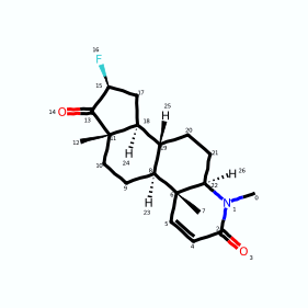 CN1C(=O)C=C[C@]2(C)[C@H]3CC[C@]4(C)C(=O)[C@@H](F)C[C@H]4[C@@H]3CC[C@@H]12